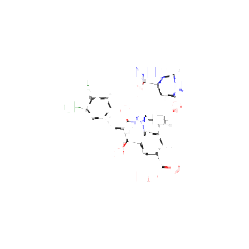 CN1C(=O)/C(=C\c2ccc(F)c(Cl)c2)C(=O)c2cc(C(=O)O)ccc21.COc1cc(C(N)=O)ccn1